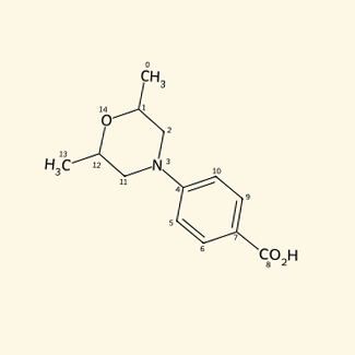 CC1CN(c2ccc(C(=O)O)cc2)CC(C)O1